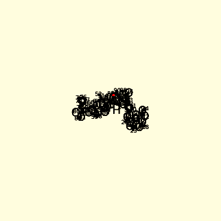 C#CCOc1cc(O[C@@H]2O[C@H](C(=O)OC)[C@@H](OC(C)=O)[C@H](OC(C)=O)[C@H]2OC(C)=O)ccc1COC(=O)N(C)[C@H](C(=O)N[C@H](C(=O)N(C)[C@@H](C(C)CC)[C@@H](CC(=O)N1CCC[C@H]1[C@H](OC)[C@@H](C)C(=O)CC(C)(Cc1ccccc1)C(=O)OC)OC)C(C)C)C(C)C